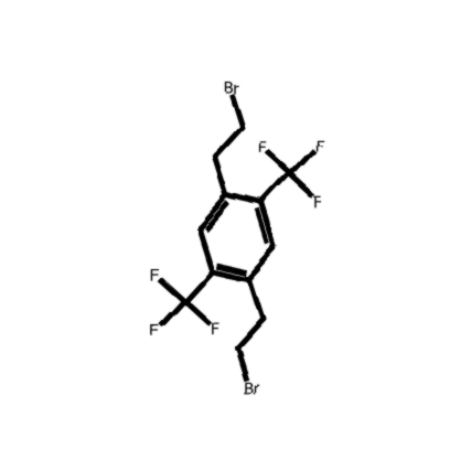 FC(F)(F)c1cc(CCBr)c(C(F)(F)F)cc1CCBr